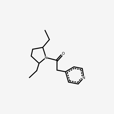 CCC1CCC(CC)N1C(=O)Cc1ccncc1